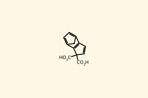 O=C(O)C1(C(=O)O)C=CC2=C1C1=CC=C2C1